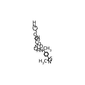 Cc1ncsc1-c1ccc(C(C)NC(=O)C2CCCN2C(=O)Cc2cc(OCC3CCNCC3)no2)cc1